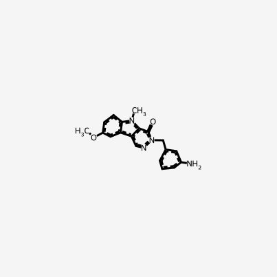 COc1ccc2c(c1)c1cnn(Cc3cccc(N)c3)c(=O)c1n2C